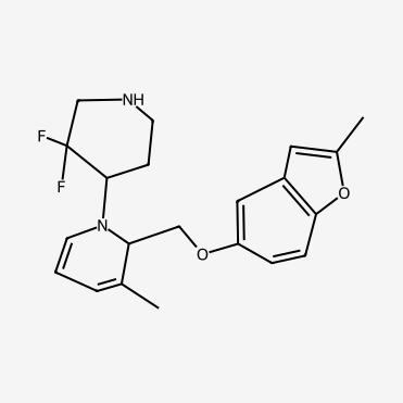 CC1=CC=CN(C2CCNCC2(F)F)C1COc1ccc2oc(C)cc2c1